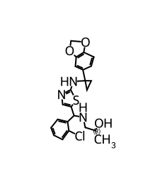 C[C@@H](O)CNC(c1cnc(NC2(c3ccc4c(c3)OCO4)CC2)s1)c1ccccc1Cl